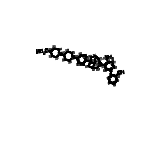 Nc1nnc(-c2ccccc2O)cc1N1CC2CC3C(C1)CC3(c1ncc(N3CCC(N4CCC(C(=O)O)CC4)CC3)cn1)C2